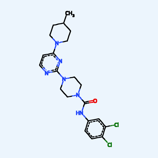 CC1CCN(c2ccnc(N3CCN(C(=O)Nc4ccc(Cl)c(Cl)c4)CC3)n2)CC1